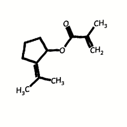 C=C(C)C(=O)OC1CCCC1=C(C)C